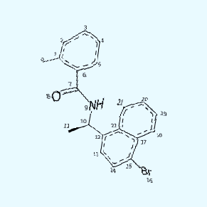 Cc1ccccc1C(=O)N[C@H](C)c1ccc(Br)c2ccccc12